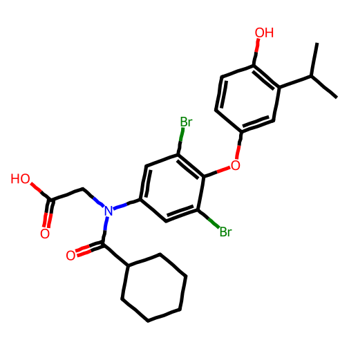 CC(C)c1cc(Oc2c(Br)cc(N(CC(=O)O)C(=O)C3CCCCC3)cc2Br)ccc1O